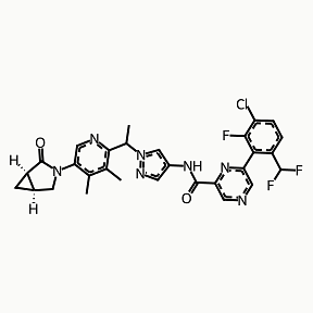 Cc1c(N2C[C@H]3C[C@H]3C2=O)cnc(C(C)n2cc(NC(=O)c3cncc(-c4c(C(F)F)ccc(Cl)c4F)n3)cn2)c1C